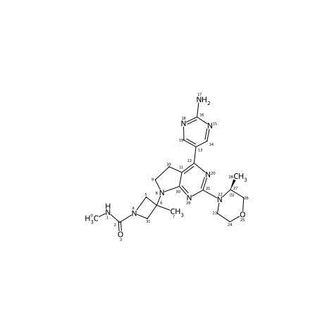 CNC(=O)N1CC(C)(N2CCc3c(-c4cnc(N)nc4)nc(N4CCOC[C@@H]4C)nc32)C1